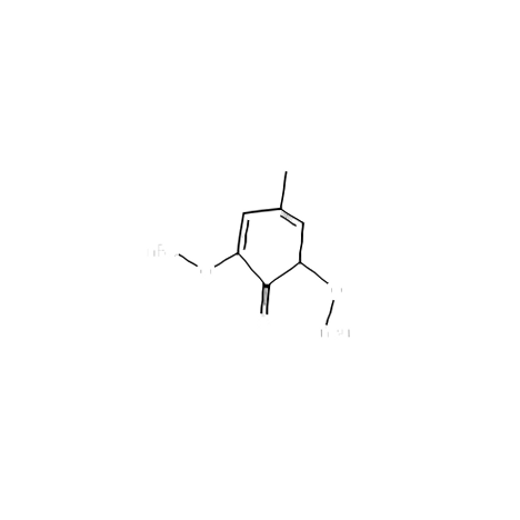 CCCCOC1=CC(C)=CC(OCCCC)C1=O